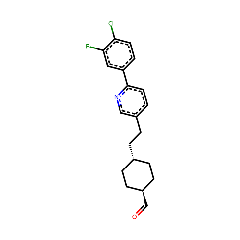 O=C[C@H]1CC[C@H](CCc2ccc(-c3ccc(Cl)c(F)c3)nc2)CC1